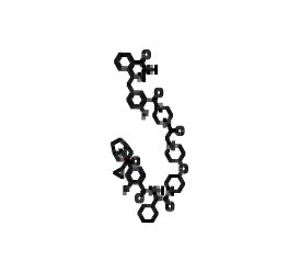 O=C(N[C@@H](C(=O)N1CCC(OC2CCN(CC(=O)N3CCN(C(=O)c4cc(Cc5n[nH]c(=O)c6ccccc56)ccc4F)CC3)CC2)CC1)C1CCCCC1)c1ccc(C2CC3CCC(C2)N3C(=O)C2CC2)cc1F